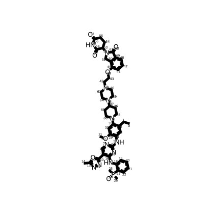 CCc1cc(Nc2ncc(-c3nnc(C)o3)c(Nc3ccccc3P(C)(C)=O)n2)c(OC)cc1N1CCC(N2CCN(CCOc3cccc4c3CN(C3CCC(=O)NC3=O)C4=O)CC2)CC1